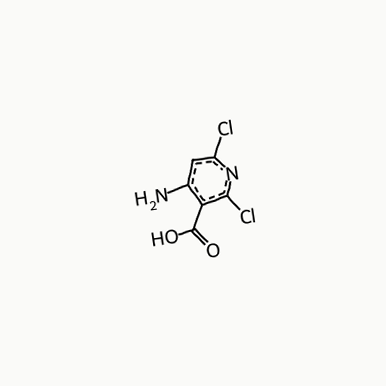 Nc1cc(Cl)nc(Cl)c1C(=O)O